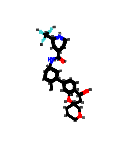 Cc1ccc(NC(=O)c2ccnc(C(F)(F)F)c2)cc1-c1ccc2c(c1)OC1(CCCOC1)CC2=O